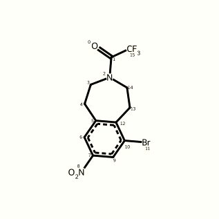 O=C(N1CCc2cc([N+](=O)[O-])cc(Br)c2CC1)C(F)(F)F